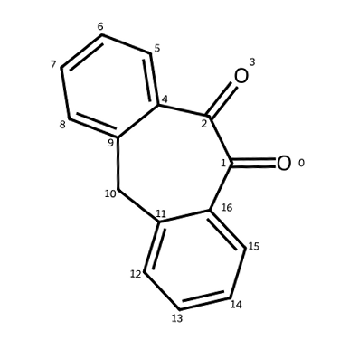 O=C1C(=O)c2ccccc2Cc2ccccc21